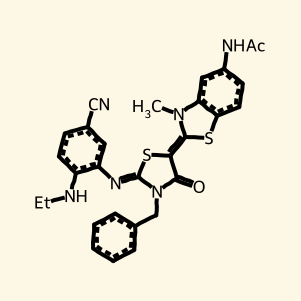 CCNc1ccc(C#N)cc1N=C1SC(=C2Sc3ccc(NC(C)=O)cc3N2C)C(=O)N1Cc1ccccc1